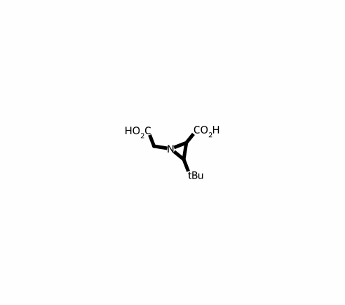 CC(C)(C)C1C(C(=O)O)N1CC(=O)O